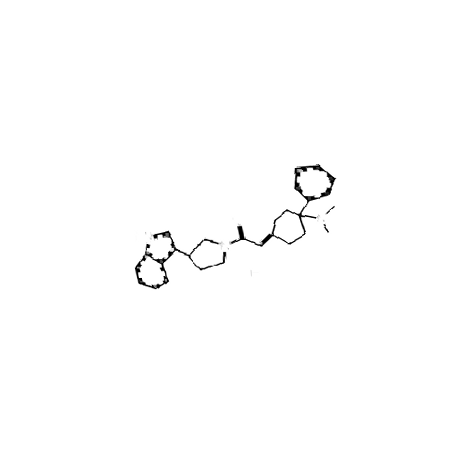 CN(C)C1(c2ccccc2)CCC(=CC(=O)N2CCC(c3c[nH]c4ccccc34)C2)CC1.Cl